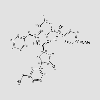 COc1ccc(S(=O)(=O)N2CC(C)O[C@@H]([C@H](Cc3ccccc3)NC(=O)[C@@H]3CN(c4cccc(CS)c4)C(=O)O3)C2)cc1